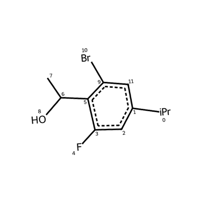 CC(C)c1cc(F)c(C(C)O)c(Br)c1